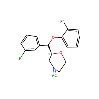 CCCc1ccccc1OC(c1cccc(F)c1)[C@@H]1CNCCO1.Cl